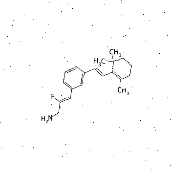 CC1=C(C=Cc2cccc(C=C(F)CN)c2)C(C)(C)CCC1